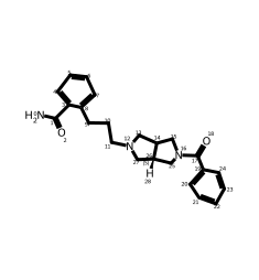 NC(=O)c1ccccc1[CH]CCN1CC2CN(C(=O)c3ccccc3)C[C@@H]2C1